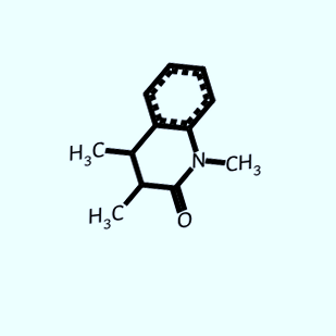 CC1C(=O)N(C)c2ccccc2C1C